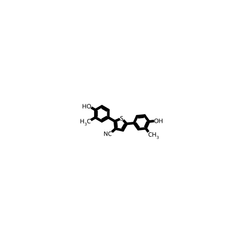 Cc1cc(-c2cc(C#N)c(-c3ccc(O)c(C)c3)s2)ccc1O